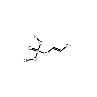 CC=COP(=O)(OF)OCl